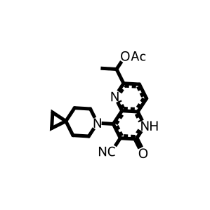 CC(=O)OC(C)c1ccc2[nH]c(=O)c(C#N)c(N3CCC4(CC3)CC4)c2n1